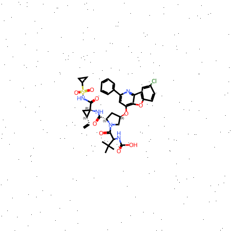 C=C[C@@H]1C[C@]1(NC(=O)[C@@H]1C[C@@H](Oc2cc(-c3ccccc3)nc3c2oc2ccc(Cl)cc23)CN1C(=O)C(NC(=O)O)C(C)(C)C)C(=O)NS(=O)(=O)C1CC1